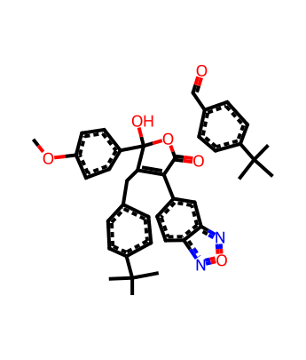 CC(C)(C)c1ccc(C=O)cc1.COc1ccc(C2(O)OC(=O)C(c3ccc4nonc4c3)=C2Cc2ccc(C(C)(C)C)cc2)cc1